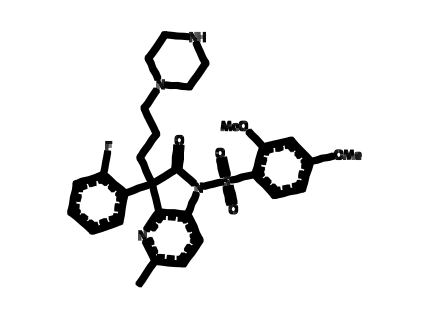 COc1ccc(S(=O)(=O)N2C(=O)C(CCCN3CCNCC3)(c3ccccc3F)c3nc(C)ccc32)c(OC)c1